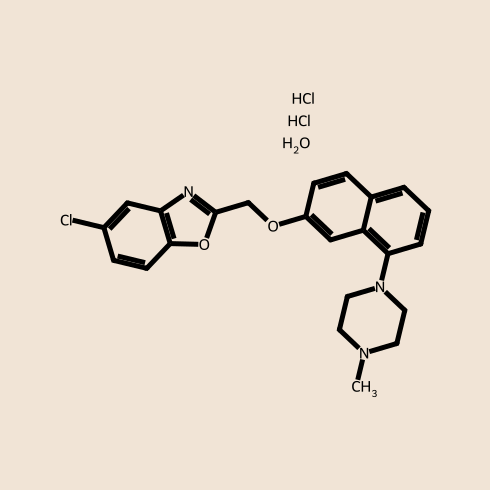 CN1CCN(c2cccc3ccc(OCc4nc5cc(Cl)ccc5o4)cc23)CC1.Cl.Cl.O